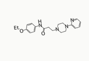 CCOc1ccc(NC(=O)CCN2CCN(c3ccccn3)CC2)cc1